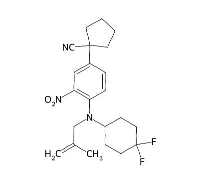 C=C(C)CN(c1ccc(C2(C#N)CCCC2)cc1[N+](=O)[O-])C1CCC(F)(F)CC1